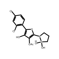 CC(=O)Oc1c(N2CCCS2(O)O)oc(-c2ccc(Cl)cc2Cl)c1O